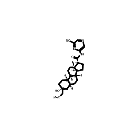 COC[C@@]1(O)CC[C@H]2[C@H](CC[C@@H]3[C@@H]2CC[C@]2(C)[C@@H](C(=O)Nc4cncc(C#N)n4)CC[C@@H]32)C1